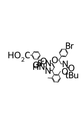 Cc1cccc(C)c1-c1cc(OC(CN(C)C(=O)OC(C)(C)C)c2ccc(Br)cc2)nc(NS(=O)(=O)c2cccc(C(=O)O)c2)n1